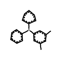 Cc1cc(C)cc(N(c2ccccc2)c2ccccc2)c1